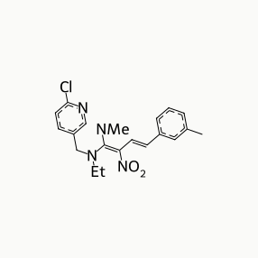 CCN(Cc1ccc(Cl)nc1)C(NC)=C(C=Cc1cccc(C)c1)[N+](=O)[O-]